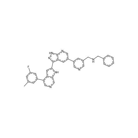 Cc1cc(F)cc(-c2cncc3[nH]c(-c4n[nH]c5ncc(-c6cncc(CNCc7ccccc7)c6)cc45)cc23)c1